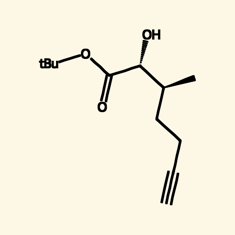 C#CCC[C@H](C)[C@@H](O)C(=O)OC(C)(C)C